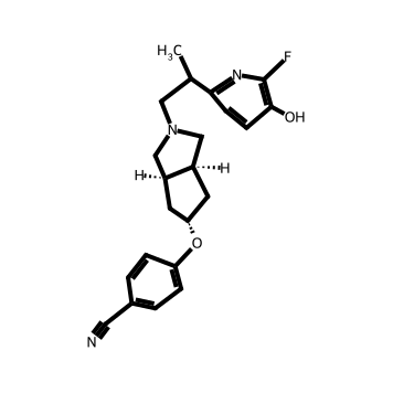 CC(CN1C[C@H]2C[C@H](Oc3ccc(C#N)cc3)C[C@H]2C1)c1ccc(O)c(F)n1